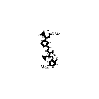 COC(=O)CC(c1cccc(CCc2cnn(-c3cc(OC)ccc3F)c2C2CC2)c1)C1CC1